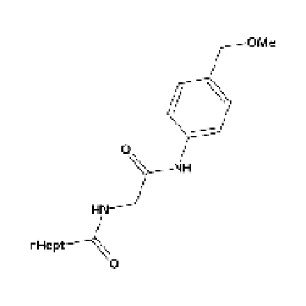 CCCCCCCC(=O)NCC(=O)Nc1ccc(COC)cc1